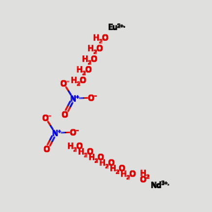 O.O.O.O.O.O.O.O.O.O.O.O.O=[N+]([O-])[O-].O=[N+]([O-])[O-].[Eu+2].[Nd+3]